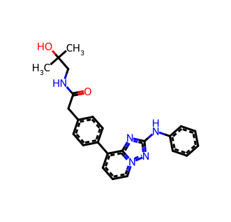 CC(C)(O)CNC(=O)Cc1ccc(-c2cccn3nc(Nc4ccccc4)nc23)cc1